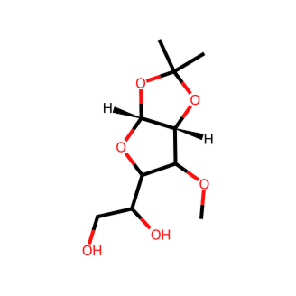 COC1C(C(O)CO)O[C@@H]2OC(C)(C)O[C@H]12